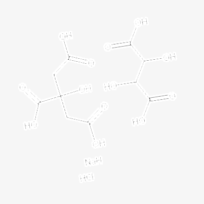 Cl.O=C(O)C(O)C(O)C(=O)O.O=C(O)CC(O)(CC(=O)O)C(=O)O.[NaH]